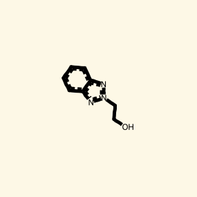 OCCn1nc2ccccc2n1